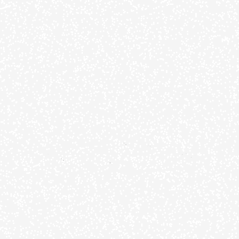 COc1ccc(/C=C/c2nc(NCCCN(C)C)c3ccccc3n2)cc1.Cl.Cl.O